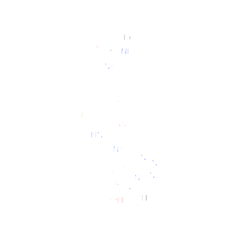 CCNC(=O)N1Cc2cc(F)c(C(=O)Nc3cccc(-c4nnnn4[C@H](C)CO)n3)cc2C1